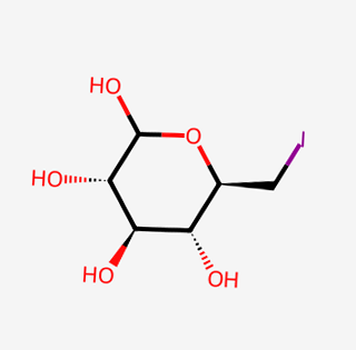 OC1O[C@@H](CI)[C@H](O)[C@@H](O)[C@@H]1O